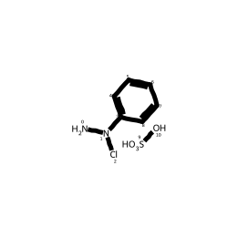 NN(Cl)c1ccccc1.O=S(=O)(O)O